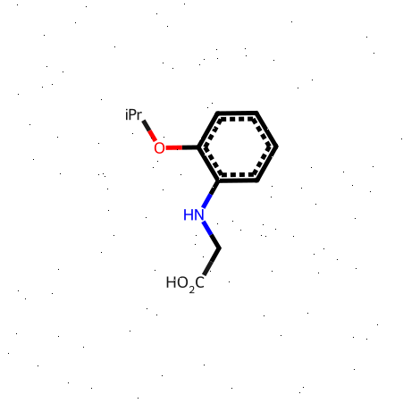 CC(C)Oc1ccccc1NCC(=O)O